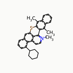 Cc1c2c(c(C)c3ccccc13)-c1c3c(cc4cccc(C5CCCCC5)c4c3cc[n+]1C)S2